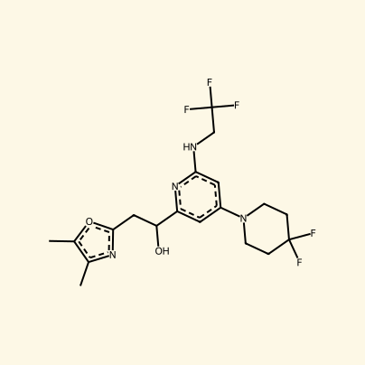 Cc1nc(CC(O)c2cc(N3CCC(F)(F)CC3)cc(NCC(F)(F)F)n2)oc1C